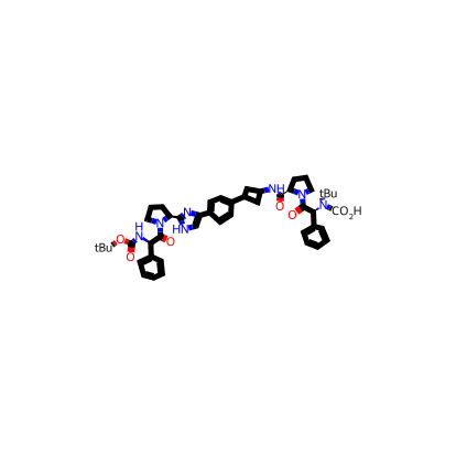 CC(C)(C)OC(=O)N[C@@H](C(=O)N1CCC[C@H]1c1nc(-c2ccc(C3CC(NC(=O)[C@@H]4CCCN4C(=O)[C@@H](c4ccccc4)N(C(=O)O)C(C)(C)C)C3)cc2)c[nH]1)c1ccccc1